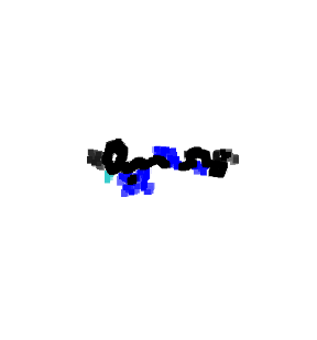 CC1(c2cccc(Cn3cc(-c4cc(-c5cccc(C#N)c5F)nc(N)n4)nn3)n2)CCC1